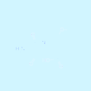 CC(=O)O.CCOCCN1CCC(=O)C(N)C1=O